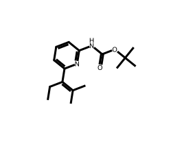 CCC(=C(C)C)c1cccc(NC(=O)OC(C)(C)C)n1